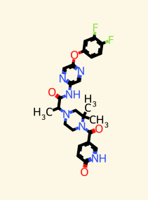 CC(C(=O)Nc1cnc(Oc2ccc(F)c(F)c2)cn1)N1CCN(C(=O)c2ccc(=O)[nH]c2)C(C)(C)C1